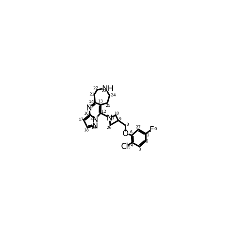 Fc1ccc(Cl)c(OCC2CN(c3c4c(nc5ccnn35)CCNCC4)C2)c1